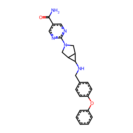 NC(=O)c1cnc(N2CC3C(C2)C3NCc2ccc(Oc3ccccc3)cc2)nc1